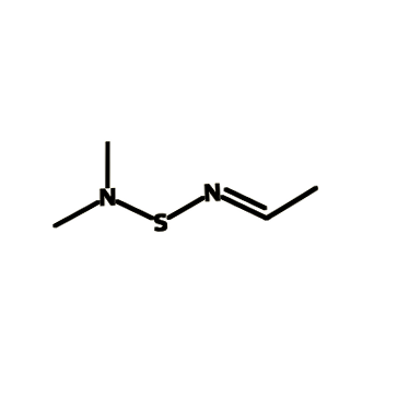 C/C=N/SN(C)C